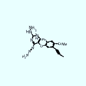 CC#Cc1cc(OC2=CNC(NN)N=C2N=NN)c(C(C)C)cc1OC